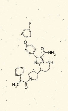 C=C(C(=O)N1CCC(C2CCNn3c2nc(-c2ccc(Oc4ccc(F)cc4)cc2)c3C(N)=O)CC1)c1ccccc1